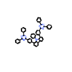 c1ccc(-c2nc(-c3ccccc3)nc(-c3ccc(-c4cccc5c6cccc(-c7cccc(-c8nc(-c9ccccc9)nc(-c9ccccc9)n8)c7)c6n(-c6ccccc6)c45)cc3)n2)cc1